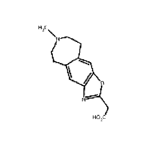 CN1CCc2cc3nc(CC(=O)O)oc3cc2CC1